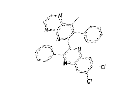 Cc1c(-c2ccccc2)c(-c2nc3cc(Cl)c(Cl)cc3nc2-c2ccccc2)nc2nccnc12